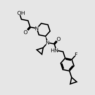 O=C(CCO)N1CCC[C@@H](N(C(=O)NCc2ccc(C3CC3)cc2F)C2CC2)C1